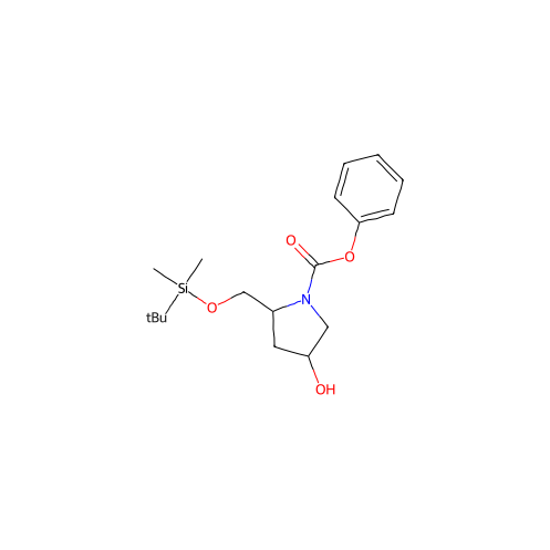 CC(C)(C)[Si](C)(C)OCC1CC(O)CN1C(=O)Oc1ccccc1